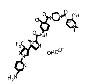 Cn1c(-c2cn(-c3ccc(N)cn3)nc2C(F)(F)F)cnc1C(=O)Nc1ccc(C(=O)N2CCN(C(=O)[C@H]3CC[N+](C)(C)C[C@H]3O)CC2)c(Cl)c1.O=C[O-]